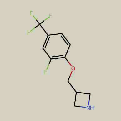 Fc1cc(C(F)(F)F)ccc1OCC1CNC1